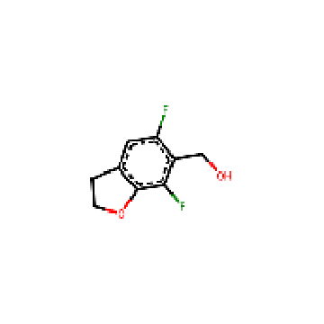 OCc1c(F)cc2c(c1F)OCC2